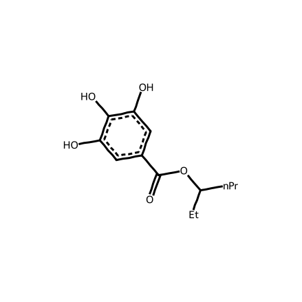 CCCC(CC)OC(=O)c1cc(O)c(O)c(O)c1